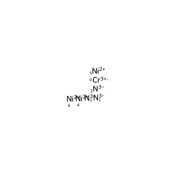 [Cr+3].[N-3].[N-3].[N-3].[Ni+2].[Ni+2].[Ni+2]